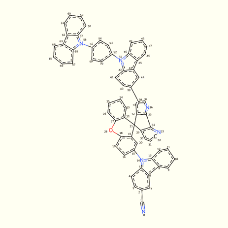 N#Cc1ccc2c(c1)c1ccccc1n2-c1ccc2c(c1)C1(c3ccccc3O2)c2cccnc2-c2ncc(-c3ccc4c(c3)c3ccccc3n4-c3ccc(-n4c5ccccc5c5ccccc54)cc3)cc21